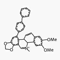 COc1cc2c(cc1OC)C1C(C=C2)c2c(-c3ccc(-c4ccccc4)cc3)cc3c(c2C=[N+]1C)OCO3